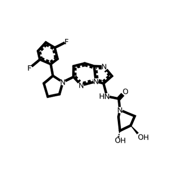 O=C(Nc1cnc2ccc(N3CCCC3c3cc(F)ccc3F)nn12)N1C[C@@H](O)[C@H](O)C1